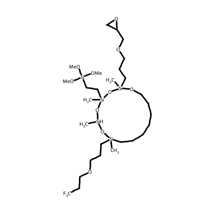 CO[Si](CC[Si]1(C)O[SiH](C)O[Si](C)(CCCOCCC(F)(F)F)CCCCCCCO[Si](C)(CCCOCC2CO2)O1)(OC)OC